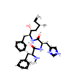 C=C[C@@H](C[C@@H](O)[C@H](Cc1ccccc1)NC(=O)[C@@H](Cc1c[nH]cn1)NC(=O)[C@H](Cc1ccccc1)NC(=O)O)C(C)C